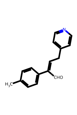 Cc1ccc(C(C=O)=CCc2ccncc2)cc1